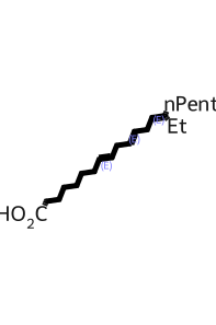 CCCCC/C(=C/C/C=C/C/C=C/CCCCCCC(=O)O)CC